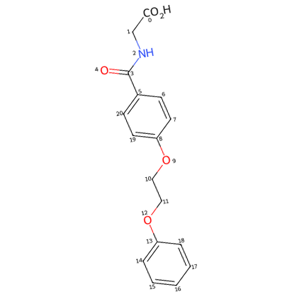 O=C(O)CNC(=O)c1ccc(OCCOc2ccccc2)cc1